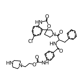 O=C(Nc1ccc(C(=O)NC(Cc2ccccc2)C(=O)N2CCC3(C2)OC(=O)Nc2ccc(Cl)cc23)cc1)OCCN1CCNCC1